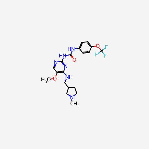 COc1cnc(NC(=O)Nc2ccc(OC(F)(F)F)cc2)nc1NCC1CCN(C)C1